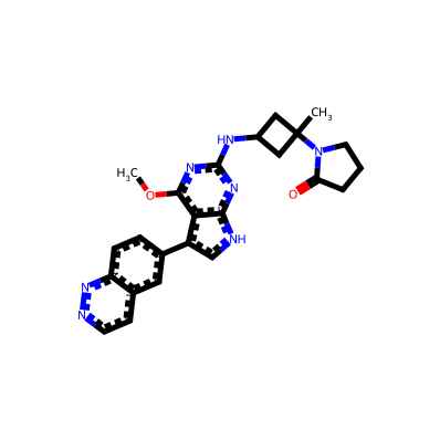 COc1nc(NC2CC(C)(N3CCCC3=O)C2)nc2[nH]cc(-c3ccc4nnccc4c3)c12